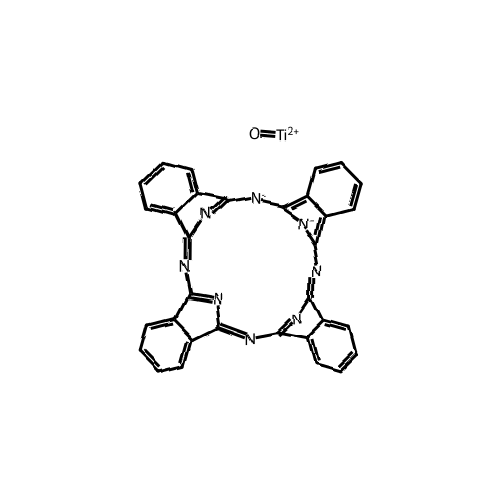 [O]=[Ti+2].c1ccc2c(c1)-c1nc3nc(nc4[n-]c([n-]c5nc(nc-2n1)-c1ccccc1-5)c1ccccc41)-c1ccccc1-3